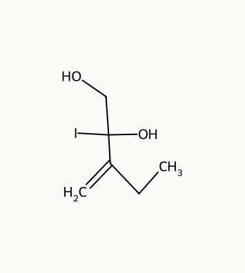 C=C(CC)C(O)(I)CO